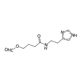 O=COCCCC(=O)NCCc1c[nH]cn1